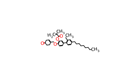 C=C(C)C(=O)Oc1cc(-c2ccc(CCCCCCCCC)cc2CC)ccc1OCC1=CCC(=O)CC1